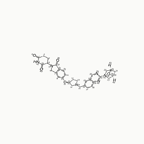 O=C1CCC(N2Cc3cc(O[C@H]4CCN(Cc5ccc6nc(N7C[C@H]8C[C@@H](C7)O8)ncc6c5)C4)ccc3C2=O)C(=O)N1